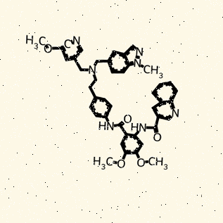 COc1cncc(CN(CCc2ccc(NC(=O)c3cc(OC)c(OC)cc3NC(=O)c3cnc4ccccc4c3)cc2)Cc2ccc3c(cnn3C)c2)c1